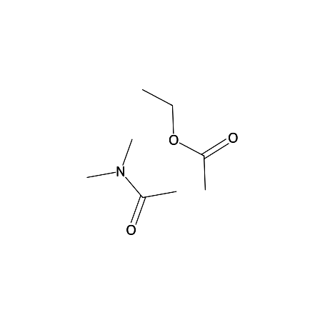 CC(=O)N(C)C.CCOC(C)=O